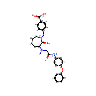 CN(CC(=O)Nc1ccc(Oc2ccccc2)cc1)[C@H]1CCCCN(Cc2ccc(C(=O)O)cc2)C1=O